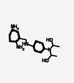 CC(O)N(c1ccc(NCc2cc(N)ccc2N)cc1)C(C)O